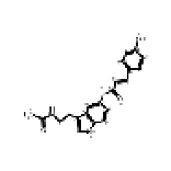 CC(=O)NCCc1c[nH]c2ccc(OC(=O)/C=C/c3ccc(O)cc3)cc12